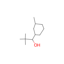 CC1CCCC(C(O)C(C)(C)C)C1